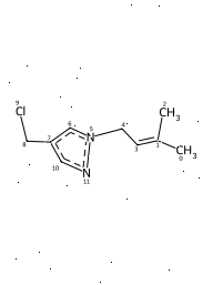 CC(C)=CCn1cc(CCl)cn1